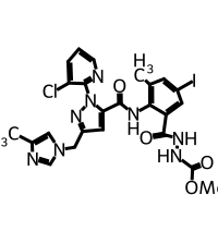 COC(=O)NNC(=O)c1cc(I)cc(C)c1NC(=O)c1cc(Cn2cnc(C(F)(F)F)c2)nn1-c1ncccc1Cl